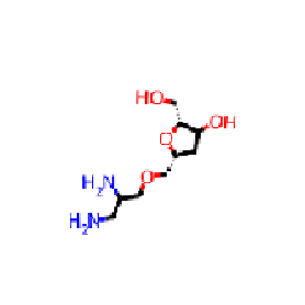 NCC(N)COC[C@H]1CC(O)[C@@H](CO)O1